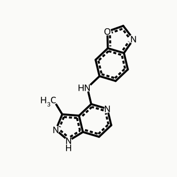 Cc1n[nH]c2ccnc(Nc3ccc4ncoc4c3)c12